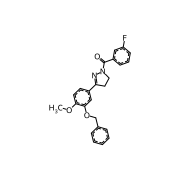 COc1ccc(C2=NN(C(=O)c3cccc(F)c3)CC2)cc1OCc1ccccc1